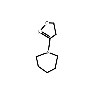 C1CCN(C2=NOCC2)CC1